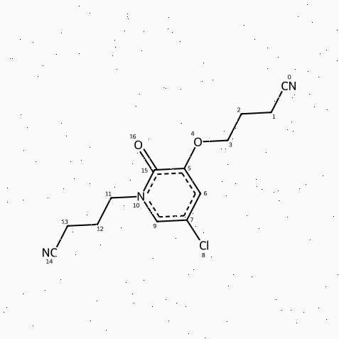 N#CCCCOc1cc(Cl)cn(CCCC#N)c1=O